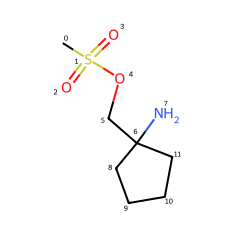 CS(=O)(=O)OCC1(N)CCCC1